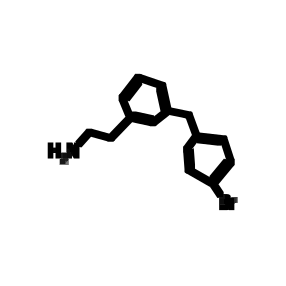 NCCc1cccc(Cc2ccc(Br)cc2)c1